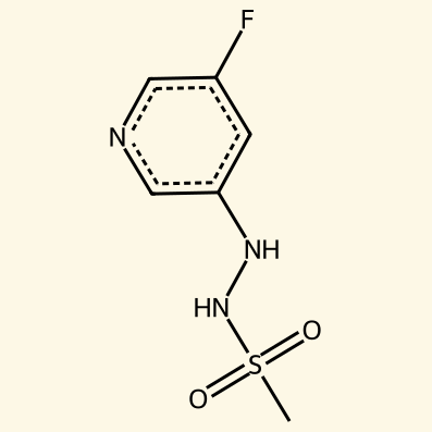 CS(=O)(=O)NNc1cncc(F)c1